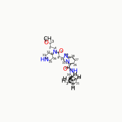 COCCCN(C(=O)Cc1cn2c(C(=O)NC[C@@H]3CC[C@@H]4C[C@H]3C4(C)C)cccc2n1)C1CCNCC1